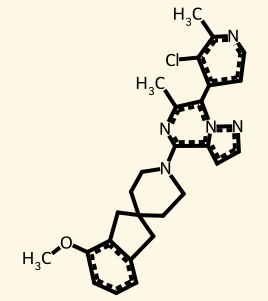 COc1cccc2c1CC1(CCN(c3nc(C)c(-c4ccnc(C)c4Cl)n4nccc34)CC1)C2